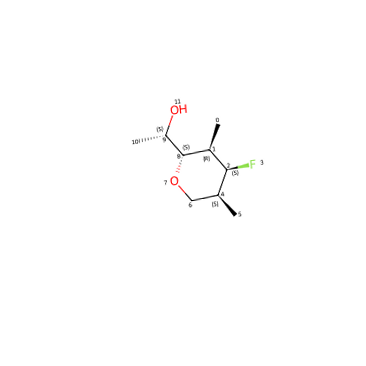 C[C@H]1[C@@H](F)[C@@H](C)CO[C@@H]1[C@H](C)O